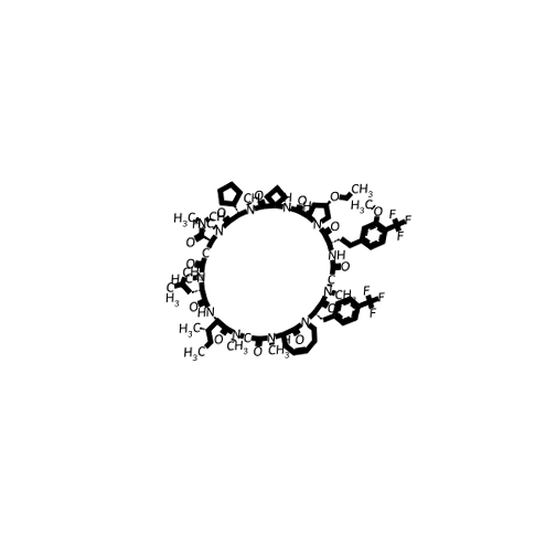 CCO[C@@H]1C[C@H]2C(=O)NC3(CCC3)C(=O)N(C)[C@@H](C3CCCC3)C(=O)N(C)[C@H](C(=O)N(C)C)CC(=O)N(C)[C@@H](CC(C)C)C(=O)N[C@@H]([C@@H](C)CC)C(=O)N(C)CC(=O)N(C)[C@H]3C/C=C\CCN(C3=O)[C@@H](Cc3ccc(C(F)(F)F)cc3)C(=O)N(C)CC(=O)N[C@@H](CCc3ccc(C(F)(F)F)c(OC)c3)C(=O)N2C1